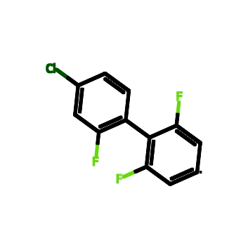 Fc1cc(Cl)ccc1-c1c(F)c[c]cc1F